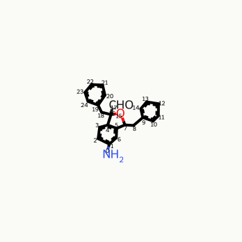 Nc1ccc2c(c1)C(Cc1ccccc1)OC2(C=O)Cc1ccccc1